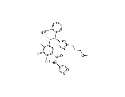 COCCCn1cc([C@H](c2ccccc2C#N)[C@@H](C)c2nc(C(=O)Nc3cnoc3)c(O)c(=O)n2C)cn1